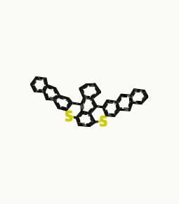 c1ccc2cc3cc4c(cc3cc2c1)Sc1ccc2c3c(c5ccccc5c-4c13)-c1cc3cc4ccccc4cc3cc1S2